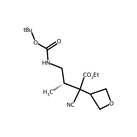 CCOC(=O)C(C#N)(C1COC1)[C@H](C)CNC(=O)OC(C)(C)C